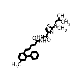 Cc1ccc(C=CCCC(=O)NNC(=O)c2csc(N(C)CC(C)C)n2)c(-c2ccccc2)c1